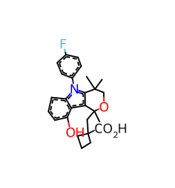 CC1(C)COC(C)(CC2(C(=O)O)CCC2)c2c1n(-c1ccc(F)cc1)c1cccc(O)c21